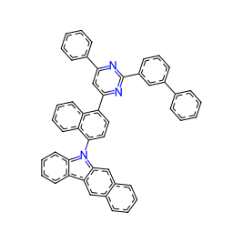 c1ccc(-c2cccc(-c3nc(-c4ccccc4)cc(-c4ccc(-n5c6ccccc6c6cc7ccccc7cc65)c5ccccc45)n3)c2)cc1